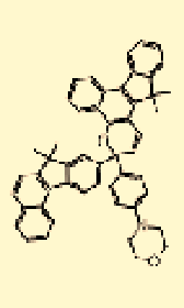 CC1(C)c2cc(C3(c4ccc(N5CCOCC5)cc4)C=Cc4c5c(c6ccccc6c4O3)-c3ccccc3C5(C)C)ccc2-c2c1ccc1ccccc21